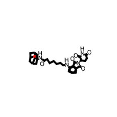 O=C1CCC(N2C(=O)c3cccc(NCCCCCCC(=O)NC45CC6CC(CC(C6)C4)C5)c3C2=O)C(=O)N1